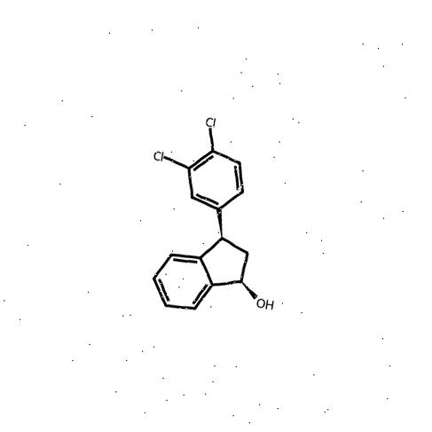 O[C@@H]1C[C@H](c2ccc(Cl)c(Cl)c2)c2ccccc21